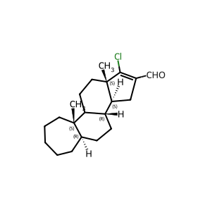 C[C@]12CCC3[C@@H](CC[C@H]4CCCCC[C@]34C)[C@@H]1CC(C=O)=C2Cl